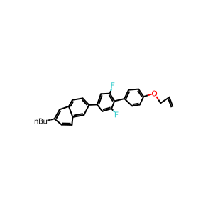 C=CCOc1ccc(-c2c(F)cc(-c3ccc4cc(CCCC)ccc4c3)cc2F)cc1